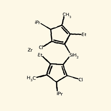 CCC1=C(C)C(C(C)C)C(Cl)=C1[SiH2]C1=C(Cl)C(C(C)C)C(C)=C1CC.[Zr]